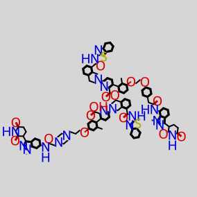 Cc1cc(OCCCN2CCN(CC(=O)Nc3ccc4c(C5CCC(=O)NC5=O)nn(C)c4c3)CC2)ccc1-c1ccc(N2Cc3c(C(=O)Nc4nc5ccccc5s4)cccc3C(OC(=O)c3nc(N4CCc5cccc(C(=O)Nc6nc7ccccc7s6)c5C4)ccc3-c3cccc(OCCOc4ccc(CC(=O)Nc5cccc6c(C7CCC(=O)NC7=O)nn(C)c56)cc4)c3C)C2)nc1C(=O)O